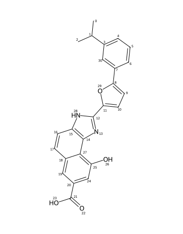 CC(C)c1cccc(-c2ccc(-c3nc4c(ccc5cc(C(=O)O)cc(O)c54)[nH]3)o2)c1